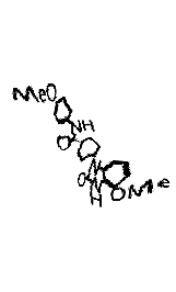 COc1ccc(NC(=O)[C@H]2CC[C@@H](n3c(=O)[nH]c4c(OC)cccc43)CC2)cc1